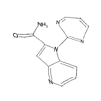 NC(=O)c1cc2ncccc2n1-c1ncccn1